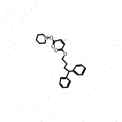 O=C(/C=C\C(=O)ON1CCCCC1)OCCCC(c1ccccc1)c1ccccc1